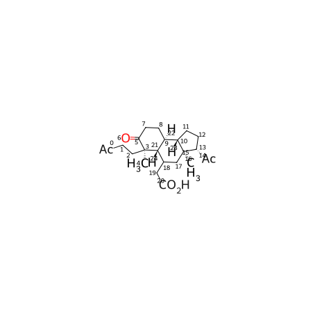 CC(=O)CC[C@@]1(C)C(=O)CC[C@H]2[C@@H]3CC[C@H](C(C)=O)[C@@]3(C)CC(CC(=O)O)[C@@H]21